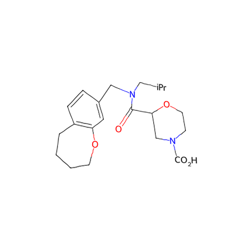 CC(C)CN(Cc1ccc2c(c1)OCCCC2)C(=O)C1CN(C(=O)O)CCO1